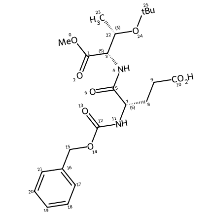 COC(=O)[C@@H](NC(=O)[C@H](CCC(=O)O)NC(=O)OCc1ccccc1)[C@H](C)OC(C)(C)C